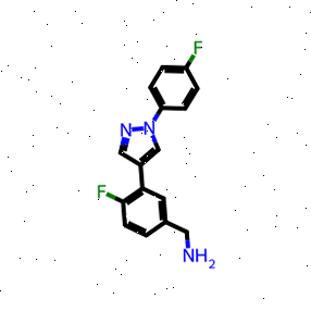 NCc1ccc(F)c(-c2cnn(-c3ccc(F)cc3)c2)c1